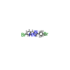 Brc1ccc(Cc2nc(-c3ccc(Br)cc3)c[nH]2)cc1